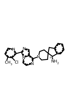 Cc1ccnc(-c2ncc3c(N4CCC5(CC4)Cc4ccccc4[C@H]5N)nccn23)c1Cl